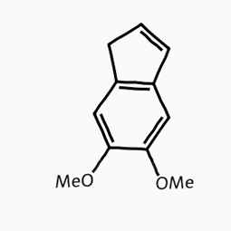 COc1cc2c(cc1OC)CC=C2